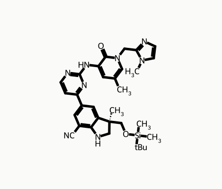 Cc1cc(Nc2nccc(-c3cc(C#N)c4c(c3)[C@@](C)(CO[Si](C)(C)C(C)(C)C)CN4)n2)c(=O)n(Cc2nccn2C)c1